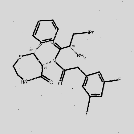 CC(C)C[C@H](N)C(=O)N(C(=O)Cc1cc(F)cc(F)c1)[C@@H]1C(=O)NCCS[C@@H]1c1ccccc1